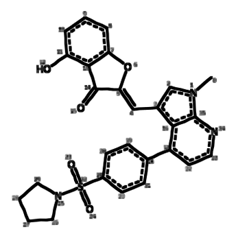 Cn1cc(C=C2Oc3cccc(O)c3C2=O)c2c(-c3ccc(S(=O)(=O)N4CCCC4)cc3)ccnc21